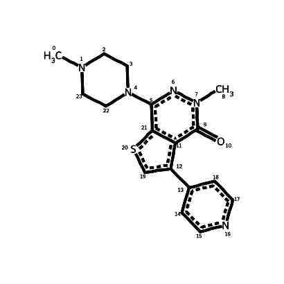 CN1CCN(c2nn(C)c(=O)c3c(-c4ccncc4)csc23)CC1